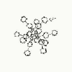 [O-2].c1ccc(-c2ccc([Si]([O][V+2]([O][Si](c3ccc(-c4ccccc4)cc3)(c3ccc(-c4ccccc4)cc3)c3ccc(-c4ccccc4)cc3)[O][Si](c3ccc(-c4ccccc4)cc3)(c3ccc(-c4ccccc4)cc3)c3ccc(-c4ccccc4)cc3)(c3ccc(-c4ccccc4)cc3)c3ccc(-c4ccccc4)cc3)cc2)cc1